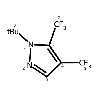 CC(C)(C)n1ncc(C(F)(F)F)c1C(F)(F)F